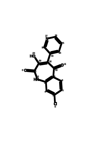 O=c1[nH]c2cc(Cl)ccc2c(=O)c(-c2cccnc2)c1O